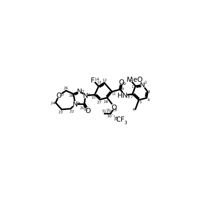 COc1nccc(C)c1NC(=O)c1cc(F)c(-n2nc3n(c2=O)CCCOC3)cc1O[C@@H](C)C(F)(F)F